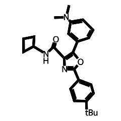 CN(C)c1cccc(-c2oc(-c3ccc(C(C)(C)C)cc3)nc2C(=O)NC2CCC2)c1